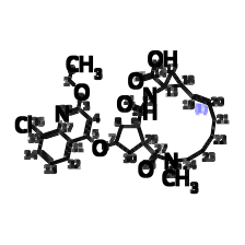 CCOc1cc(OC2CC3C(=O)NC4(C(=O)O)CC4/C=C/CCCCN(C)C(=O)C3C2)c2cccc(Cl)c2n1